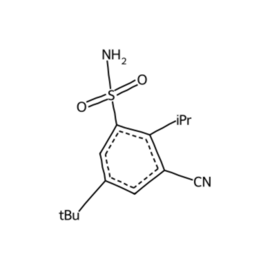 CC(C)c1c(C#N)cc(C(C)(C)C)cc1S(N)(=O)=O